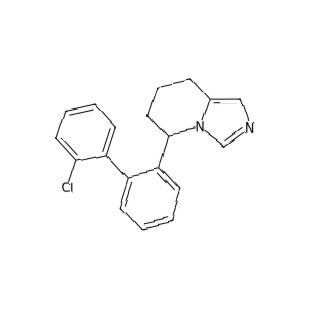 Clc1ccccc1-c1ccccc1C1CCCc2cncn21